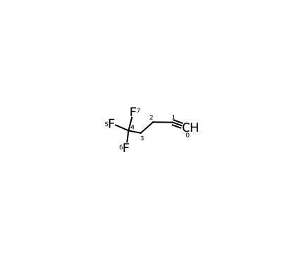 C#CCCC(F)(F)F